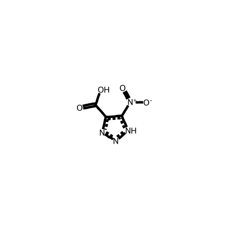 O=C(O)c1nn[nH]c1[N+](=O)[O-]